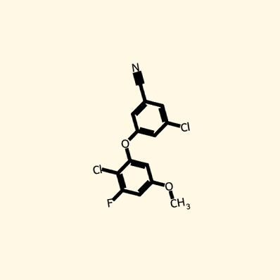 COc1cc(F)c(Cl)c(Oc2cc(Cl)cc(C#N)c2)c1